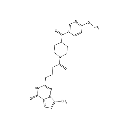 COc1ccc(C(=O)C2CCN(C(=O)CCCc3nn4c(C)ccc4c(=O)[nH]3)CC2)cn1